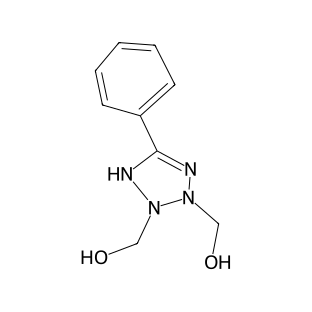 OCN1N=C(c2ccccc2)NN1CO